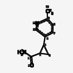 NC(=O)C1CC1c1ccc(C(F)(F)F)nc1